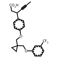 CC#CC(CC(=O)O)c1ccc(OCC2(COc3cccc(C(F)(F)F)c3)CC2)cc1